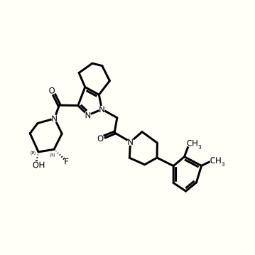 Cc1cccc(C2CCN(C(=O)Cn3nc(C(=O)N4CC[C@@H](O)[C@@H](F)C4)c4c3CCCC4)CC2)c1C